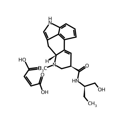 CC[C@H](CO)NC(=O)[C@@H]1C=C2c3cccc4[nH]cc(c34)C[C@H]2N(C)C1.O=C(O)/C=C\C(=O)O